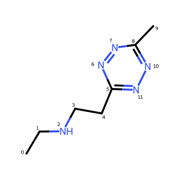 CCNCCc1nnc(C)nn1